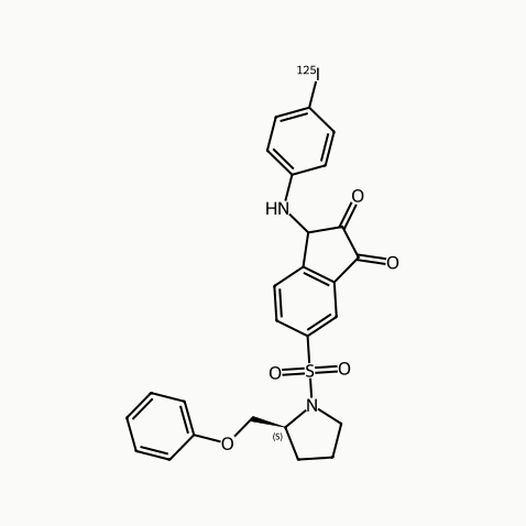 O=C1C(=O)C(Nc2ccc([125I])cc2)c2ccc(S(=O)(=O)N3CCC[C@H]3COc3ccccc3)cc21